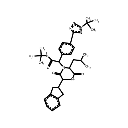 CC(C)CC1C(=O)NC(C2Cc3ccccc3C2)C(=O)N1C(C(=O)NC(C)(C)C)c1ccc(-c2nnn(C(C)(C)C)n2)cc1